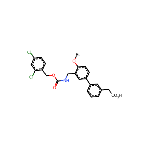 CCOc1ccc(-c2cccc(CC(=O)O)c2)cc1CNC(=O)OCc1ccc(Cl)cc1Cl